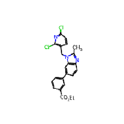 CCOC(=O)c1cccc(-c2ccc3nc(C)n(Cc4ccc(Cl)nc4Cl)c3c2)c1